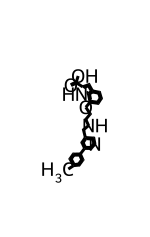 Cc1ccc(-c2cncc(CNCCOc3cccc4cc(C(=O)O)[nH]c34)c2)cc1